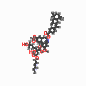 C=C(c1ccc(C(=O)OC2Cc3cc4c(cc3[C@@H]3[C@H](OC(=O)C(O)(CCCC(C)(C)O)CC(=O)OC/C=C/C=C/C)C(OC)=C[C@@]35CCCN25)OCO4)cc1)c1cc2c(cc1C)C(C)(C)CCC2(C)C